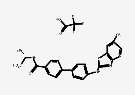 CCC[C@H](NC(=O)c1ccc(-c2ccc(Nc3nc4ncc(C(F)(F)F)cc4s3)cc2)cc1)C(=O)O.O=C(O)C(F)(F)F